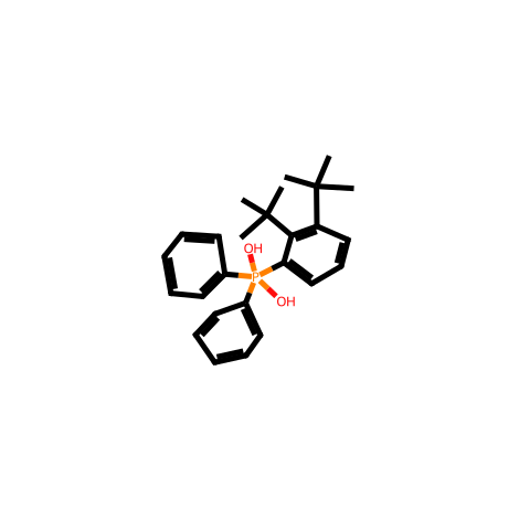 CC(C)(C)c1cccc(P(O)(O)(c2ccccc2)c2ccccc2)c1C(C)(C)C